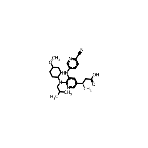 COC1CCC(N(CC(C)C)c2ncc([C@H](C)CC(=O)O)cc2Nc2ccc(C#N)nc2)CC1